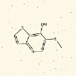 CSc1cnc2ccsc2c1O